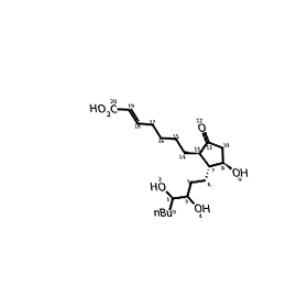 CCCCC(O)C(O)CC[C@H]1[C@H](O)CC(=O)[C@@H]1CCCCC=CC(=O)O